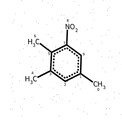 Cc1[c]c(C)c(C)c([N+](=O)[O-])c1